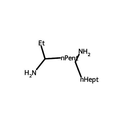 CCCCCC(N)CC.CCCCCCCCN